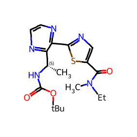 CCN(C)C(=O)c1cnc(-c2nccnc2[C@H](C)NC(=O)OC(C)(C)C)s1